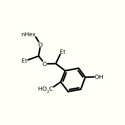 CCCCCCOC(CC)OC(CC)c1cc(O)ccc1C(=O)O